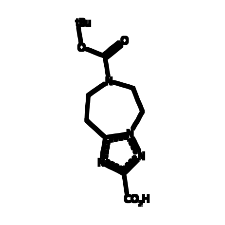 CC(C)(C)OC(=O)N1CCc2nc(C(=O)O)nn2CC1